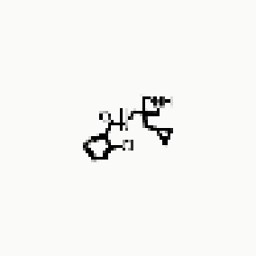 O=C(NCC1(CC2CC2)CNC1)c1ccccc1Cl